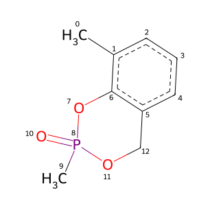 Cc1cccc2c1OP(C)(=O)OC2